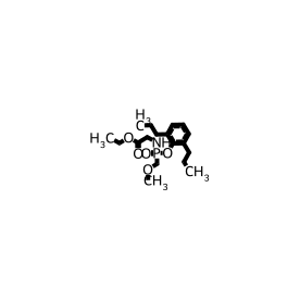 CCCc1cccc(CCC)c1OP(=O)(COC)NCC(=O)OCC